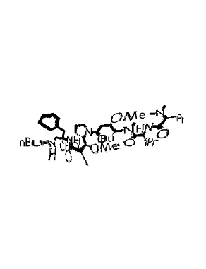 CCCCNC[C@@](C=O)(Cc1ccccc1)NC(=O)[C@H](C)[C@@H](OC)[C@@H]1CCCN1C(=O)CC(OC)C([C@@H](C)CC)N(C)C(=O)[C@@H](NC(=O)[C@H](C(C)C)N(C)C)C(C)C